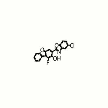 Oc1c(-c2nc3cc(Cl)ccc3o2)cc2oc3ccccc3c2c1F